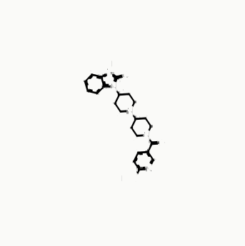 Cc1ccc(C(=O)N2CCC(N3CCC(n4c(=O)[nH]c5ccccc54)CC3)CC2)cn1